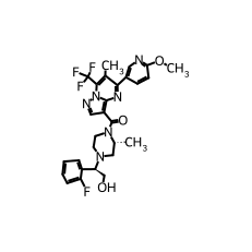 COc1ccc(-c2nc3c(C(=O)N4CCN([C@@H](CO)c5ccccc5F)C[C@H]4C)cnn3c(C(F)(F)F)c2C)cn1